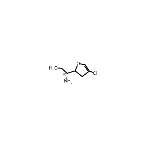 CC[C@@H](N)C1CC(Cl)=CO1